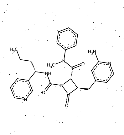 CCC[C@H](NC(=O)N1C(=O)[C@H](Cc2ccnc(N)c2)[C@H]1C(=O)N(C)c1ccccc1)c1cccnc1